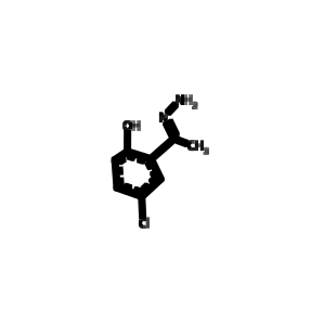 CC(=NN)c1cc(Cl)ccc1O